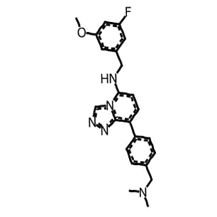 COc1cc(F)cc(CNc2ccc(-c3ccc(CN(C)C)cc3)c3nncn23)c1